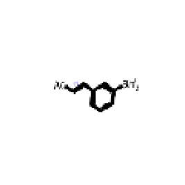 Bc1cccc(/C=C/C(C)=O)c1